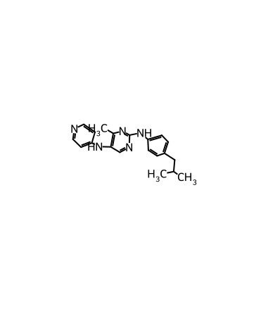 Cc1nc(Nc2ccc(CC(C)C)cc2)ncc1Nc1ccncc1